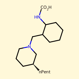 CCCCC[C@H]1CCCN(CC2CCCCC2NC(=O)O)C1